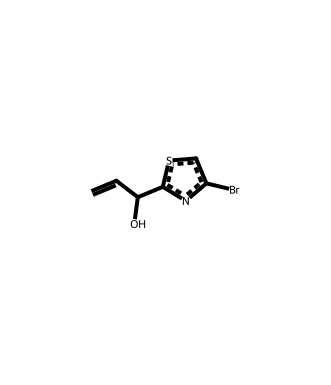 C=CC(O)c1nc(Br)cs1